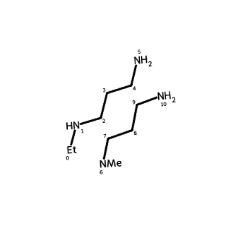 CCNCCCN.CNCCCN